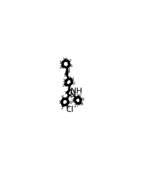 Clc1cccc(C2C=C(c3ccc(C#Cc4ccccc4)cc3)NN2c2ccccc2)c1